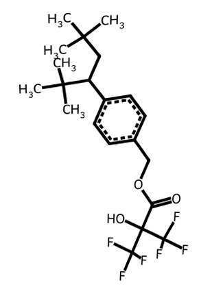 CC(C)(C)CC(c1ccc(COC(=O)C(O)(C(F)(F)F)C(F)(F)F)cc1)C(C)(C)C